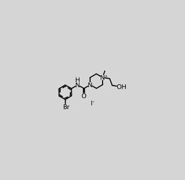 C[N+]1(CCO)CCN(C(=O)Nc2cccc(Br)c2)CC1.[I-]